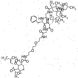 COC1C(OC(=O)NCCOCCOCCNC(=O)CNC(=O)[C@@H](CC(C)C)NC(=O)[C@@H](Cc2ccccc2)NC(=O)CNC(=O)C(C)(CC(C)(CC(C)C)C(=O)NCC(C)O)C(C)C)CC[C@]2(CO2)C1C1(C)O[C@@H]1CC=C(C)C